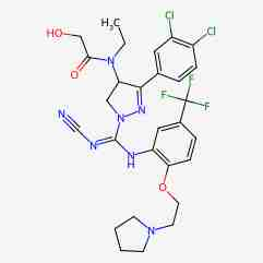 CCN(C(=O)CO)C1CN(C(=NC#N)Nc2cc(C(F)(F)F)ccc2OCCN2CCCC2)N=C1c1ccc(Cl)c(Cl)c1